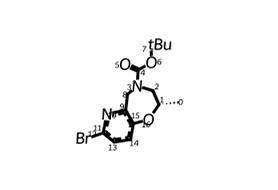 C[C@H]1CN(C(=O)OC(C)(C)C)Cc2nc(Br)ccc2O1